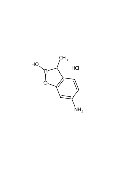 CC1B(O)Oc2cc(N)ccc21.Cl